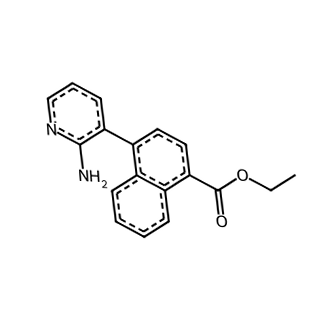 CCOC(=O)c1ccc(-c2cccnc2N)c2ccccc12